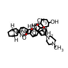 C[C@H](NC(=O)c1ccc(N2[C@@H]3CC[C@H]2C[C@@H](NC(=O)c2ccc(C(N)=O)c(NC4CCC(O)CC4)c2)C3)nc1)c1ccc(N2CCN(C)CC2)cc1